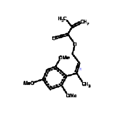 C=C(C)C(=O)OC/C=C(/C)c1c(OC)cc(OC)cc1OC